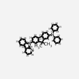 CC1(C)c2cc(N(c3ccccc3)c3ccccc3)ccc2-c2ccc(-n3c4ccccc4c4cccnc43)cc21